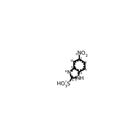 O=[N+]([O-])c1ccc2[nH]c(S(=O)(=O)O)nc2c1